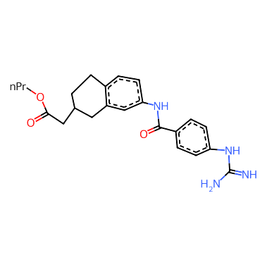 CCCOC(=O)CC1CCc2ccc(NC(=O)c3ccc(NC(=N)N)cc3)cc2C1